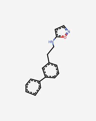 c1ccc(-c2cccc(CCNc3ccno3)c2)cc1